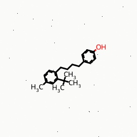 Cc1ccc(CCCCc2ccc(O)cc2)c(C(C)(C)C)c1